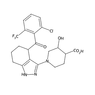 O=C(c1c(Cl)cccc1C(F)(F)F)C1CCCc2[nH]nc(N3CCC(C(=O)O)C(O)C3)c21